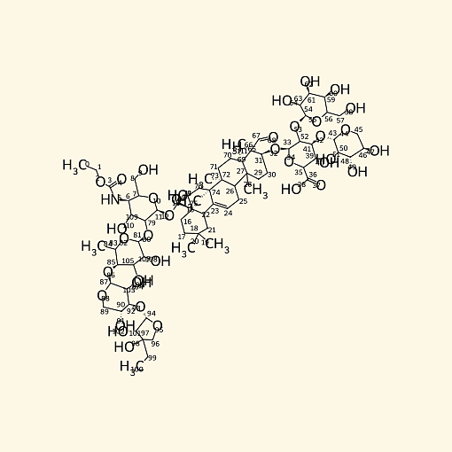 CCOC(=O)N[C@H]1C(CO)O[C@@H](OC(=O)[C@]23CCC(C)(C)CC2C2=CCC4C5(C)CC[C@H](O[C@@H]6OC(C(=O)O)[C@@H](O)[C@H](O[C@@H]7OC[C@@H](O)[C@H](O)C7O)C6O[C@@H]6OC(CO)[C@H](O)[C@H](O)C6O)[C@](C)(C=O)[C@@H]5CC[C@]4(C)[C@]2(C)CC3O)C(O[C@@H]2OC(C)[C@H](O[C@@H]3OC[C@@H](O)C(O[C@@H]4OCC(O)(CC)[C@@H]4O)C3O)C(O)C2O)C1O